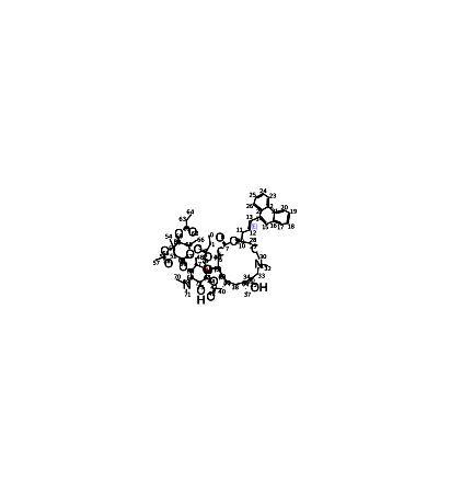 CCC(=O)O[C@@H]1CC(=O)O[C@@H](C/C=C/c2cc3ccccc3c3ccccc23)CCCN(C)C[C@H](O)[C@H](C)C[C@H](CC=O)[C@H](O[C@@H]2OC(C)[C@@H](O[C@H]3CC(C)(OC(C)=O)[C@@H](OC(=O)CC)C(C)O3)C(N(C)C)C2O)[C@H]1OC